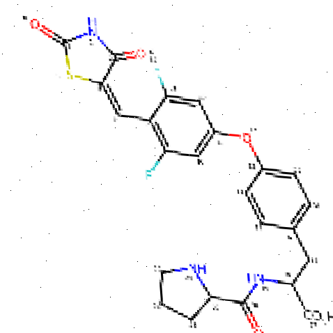 O=C1NC(=O)/C(=C\c2c(F)cc(Oc3ccc(CC(NC(=O)C4CCCN4)C(=O)O)cc3)cc2F)S1